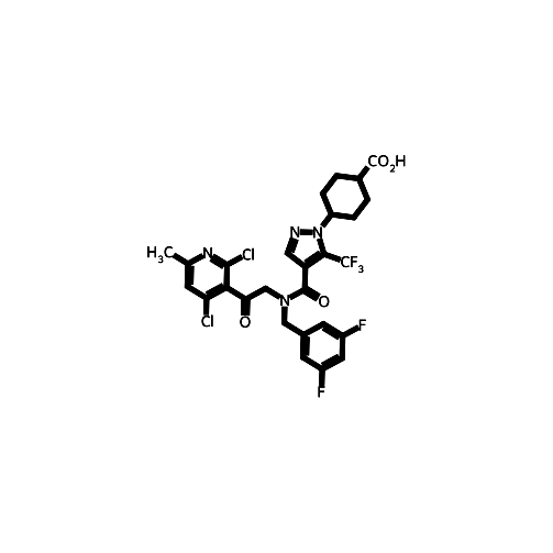 Cc1cc(Cl)c(C(=O)CN(Cc2cc(F)cc(F)c2)C(=O)c2cnn(C3CCC(C(=O)O)CC3)c2C(F)(F)F)c(Cl)n1